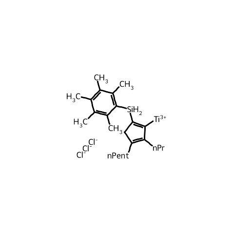 CCCCCC1=C(CCC)[C]([Ti+3])=C([SiH2]c2c(C)c(C)c(C)c(C)c2C)C1.[Cl-].[Cl-].[Cl-]